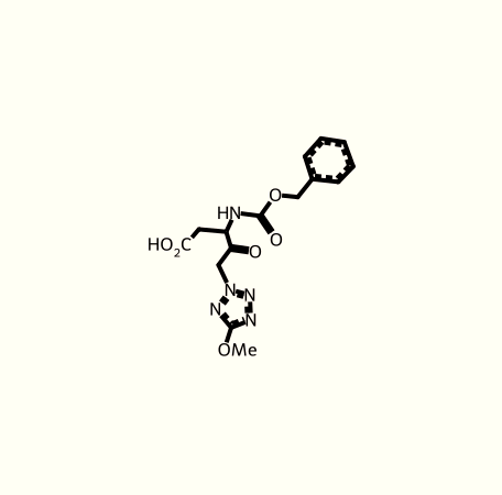 COc1nnn(CC(=O)C(CC(=O)O)NC(=O)OCc2ccccc2)n1